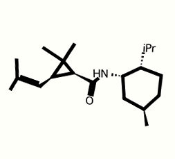 CC(C)=C[C@@H]1[C@H](C(=O)N[C@H]2C[C@H](C)CC[C@H]2C(C)C)C1(C)C